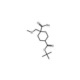 COCC1(C(=O)O)CCC(C(=O)OC(C)(C)C)CC1